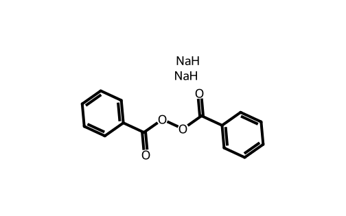 O=C(OOC(=O)c1ccccc1)c1ccccc1.[NaH].[NaH]